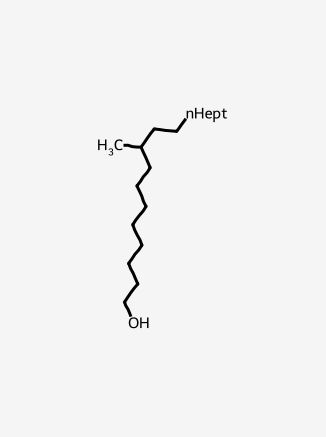 CCCCCCCCCC(C)CCCCCCCCO